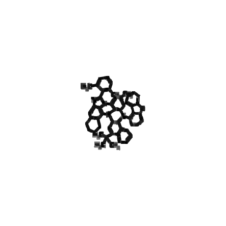 Cc1cc2c3c(c1)-n1c(-c4c(C)cccc4C)nc4cc5c(c(c41)B3c1cc(C(C)(C)C)c3ccccc3c1N2c1cccc2oc3ccccc3c12)CCCC5